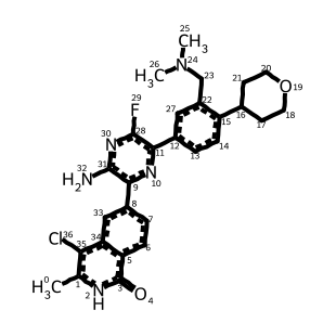 Cc1[nH]c(=O)c2ccc(-c3nc(-c4ccc(C5CCOCC5)c(CN(C)C)c4)c(F)nc3N)cc2c1Cl